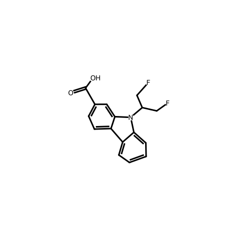 O=C(O)c1ccc2c3ccccc3n(C(CF)CF)c2c1